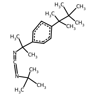 CC(C)(C)N=C=NC(C)(C)c1ccc(C(C)(C)C(C)(C)C)cc1